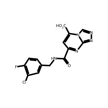 O=C(NCc1ccc(F)c(Cl)c1)c1cc(C(=O)O)n2cnnc2n1